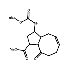 CCCCOC(=O)NC1CC(C(=O)OC)N2C(=O)CCC=CCC12